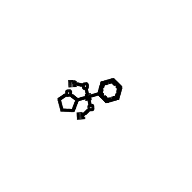 CCO[Si](OCC)(c1ccccc1)C1CCCO1